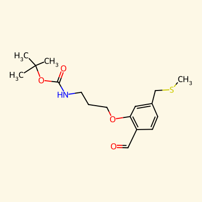 CSCc1ccc(C=O)c(OCCCNC(=O)OC(C)(C)C)c1